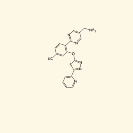 N#Cc1ccc(-c2ncc(CN)cn2)c(Oc2nnc(-c3ccccn3)s2)c1